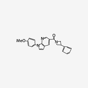 COc1ccc(-n2ccc3cc(C(=O)N4CC(c5ccccc5)C4)cnc32)cc1